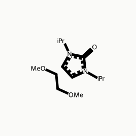 CC(C)n1ccn(C(C)C)c1=O.COCCOC